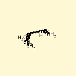 C=CCCC(C=C)N1Cc2cc(CCCCCCCNCc3ccc(SN)cc3)ccc2C1=C